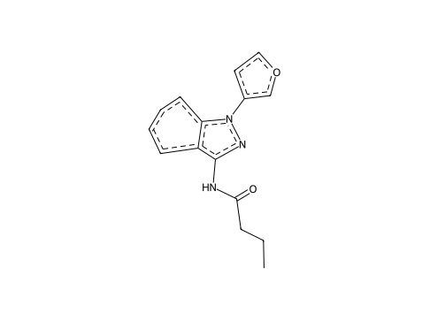 CCCC(=O)Nc1nn(-c2ccoc2)c2ccccc12